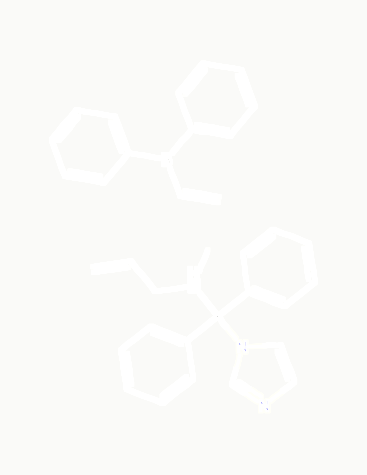 C=CB(c1ccccc1)c1ccccc1.C=CC[SiH](C)C(c1ccccc1)(c1ccccc1)n1ccnc1